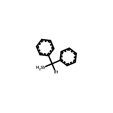 CC[C]([SbH2])(c1ccccc1)c1ccccc1